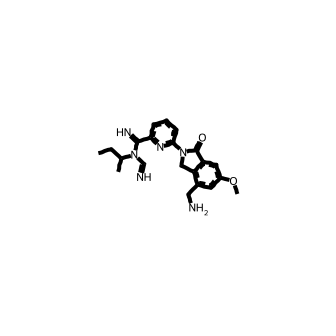 CCC(C)N(C=N)C(=N)c1cccc(N2Cc3c(CN)cc(OC)cc3C2=O)n1